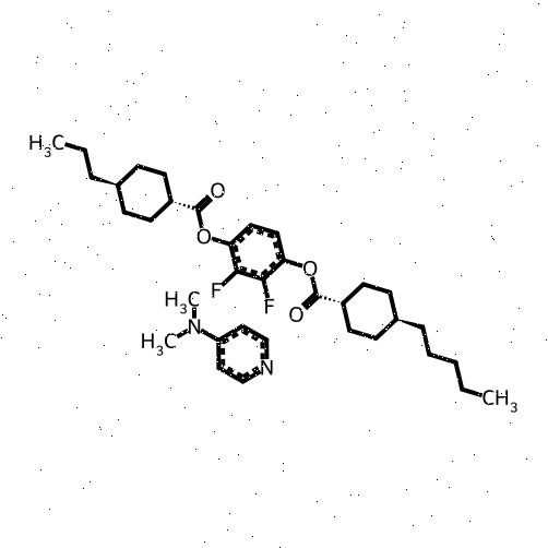 CCCCC[C@H]1CC[C@H](C(=O)Oc2ccc(OC(=O)[C@H]3CC[C@H](CCC)CC3)c(F)c2F)CC1.CN(C)c1ccncc1